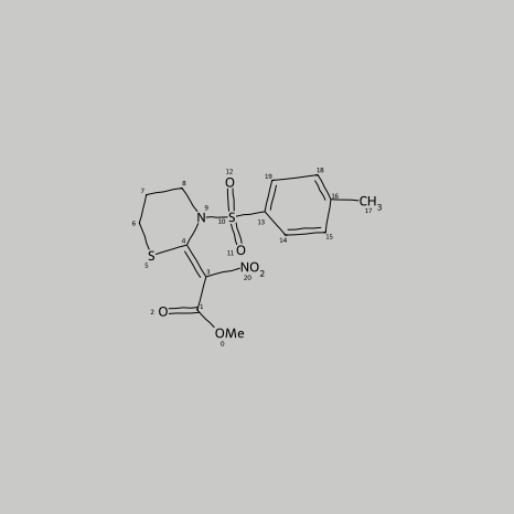 COC(=O)C(=C1SCCCN1S(=O)(=O)c1ccc(C)cc1)[N+](=O)[O-]